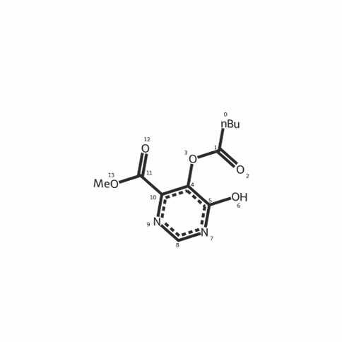 CCCCC(=O)Oc1c(O)ncnc1C(=O)OC